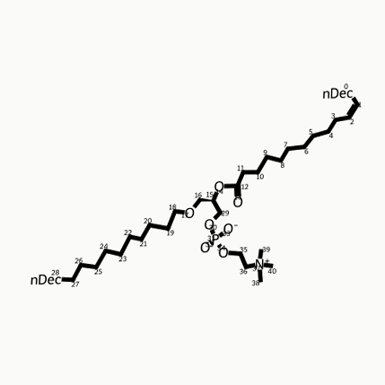 CCCCCCCCCC/C=C\CCCCCCCCCC(=O)O[C@H](COCCCCCCCCCCCCCCCCCCCC)COP(=O)([O-])OCC[N+](C)(C)C